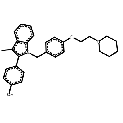 Cc1c(-c2ccc(O)cc2)n(Cc2ccc(OCCN3CCCCC3)cc2)c2ccccc12